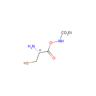 CCOC(=O)NOC(=O)[C@@H](N)CS